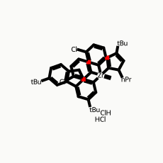 Cl.Cl.[CH2]=[Zr]([C]1=CC(C(C)(C)C)=CC1CCC)([c]1cccc(Cl)c1)([c]1cccc(Cl)c1)[c]1cc(C(C)(C)C)cc2c1Cc1ccc(C(C)(C)C)cc1-2